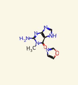 Cn1c(N)nc2nc[nH]c2c1=O.c1cocn1